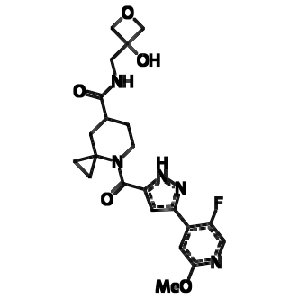 COc1cc(-c2cc(C(=O)N3CCC(C(=O)NCC4(O)COC4)CC34CC4)[nH]n2)c(F)cn1